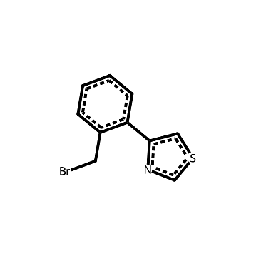 BrCc1ccccc1-c1cscn1